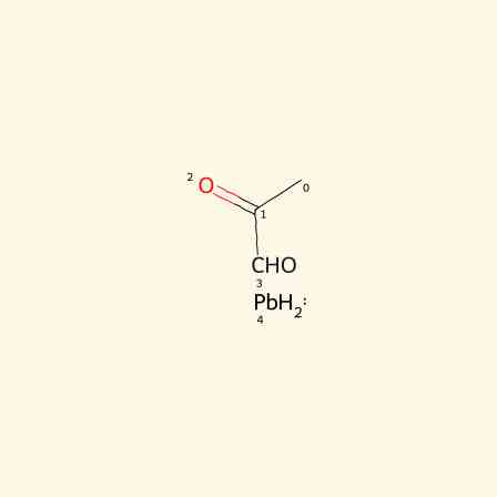 CC(=O)C=O.[PbH2]